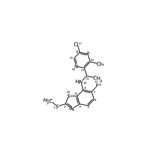 CSc1nc2ccc(F)c(NC(C)c3ncc(Cl)cc3Cl)c2s1